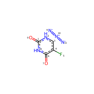 O=c1[nH]cc(F)c(=O)[nH]1.[N-]=[N+]=[N-]